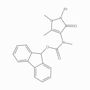 Cc1c(N(C)C(=O)OC2c3ccccc3-c3ccccc32)c(=O)n(C(C)C)n1C